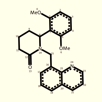 COc1cccc(OC)c1C1CCCC(=O)N1Cc1cccc2cccnc12